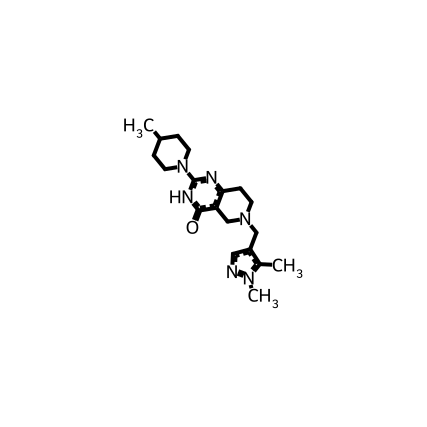 Cc1c(CN2CCc3nc(N4CCC(C)CC4)[nH]c(=O)c3C2)cnn1C